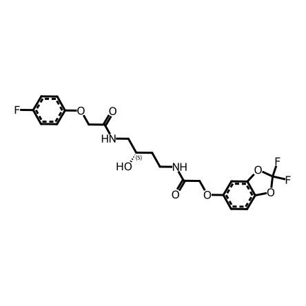 O=C(COc1ccc2c(c1)OC(F)(F)O2)NCC[C@H](O)CNC(=O)COc1ccc(F)cc1